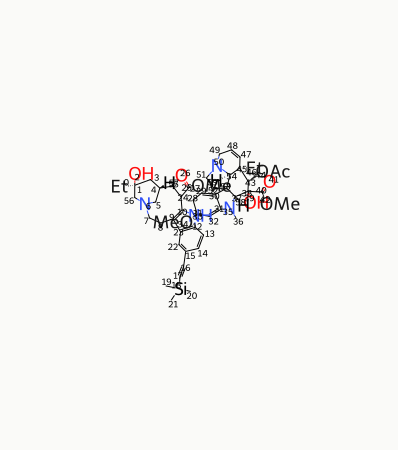 CC[C@]1(O)C[C@H]2CN(CCc3c([nH]c4ccc(C#C[Si](C)(C)C)cc34)[C@@](C(=O)OC)(C3C=C4C(=CC3OC)N(C)[C@H]3[C@@](O)(C(=O)OC)[C@H](OC(C)=O)[C@]5(CC)C=CCN6CC[C@]43[C@@H]65)C2)C1